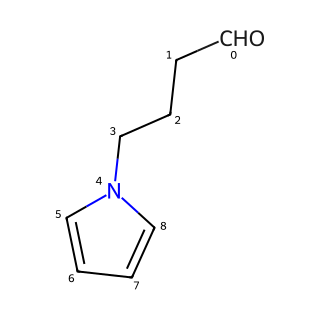 O=CCCCn1cccc1